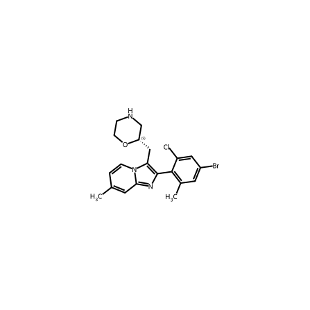 Cc1ccn2c(C[C@H]3CNCCO3)c(-c3c(C)cc(Br)cc3Cl)nc2c1